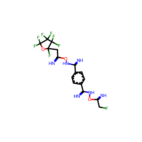 N=C(CF)ONC(=N)c1ccc(C(=N)NOC(=N)CC2(F)OC(F)(F)C(F)(F)C2(F)F)cc1